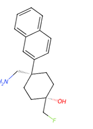 NC[C@]1(c2ccc3ccccc3c2)CC[C@@](O)(CF)CC1